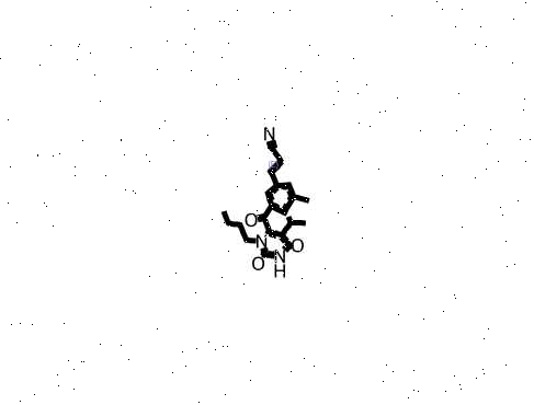 CCCCn1c(C(=O)c2cc(C)cc(/C=C/C#N)c2)c(C(C)C)c(=O)[nH]c1=O